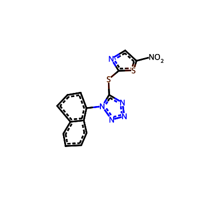 O=[N+]([O-])c1cnc(Sc2nnnn2-c2cccc3ccccc23)s1